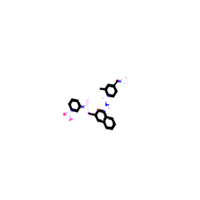 CNC(=O)c1ccc(/N=N/c2c(O)c(C(=O)Nc3cccc([N+](=O)[O-])c3)cc3ccccc23)c(C)c1